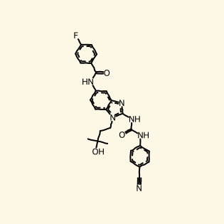 CC(C)(O)CCn1c(NC(=O)Nc2ccc(C#N)cc2)nc2cc(NC(=O)c3ccc(F)cc3)ccc21